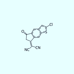 N#CC(C#N)=C1CC(=O)c2cc3cc(Cl)sc3cc21